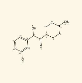 CN1CCN(C(=O)C(O)c2cccc(Cl)c2)CC1